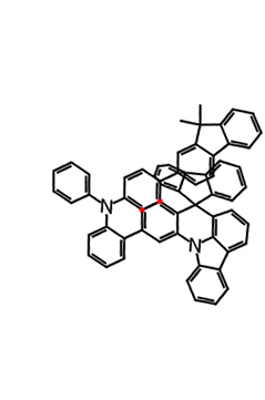 CC1(C)c2ccccc2-c2ccc(-c3ccc(N(c4ccccc4)c4ccccc4-c4ccc5c(c4)-n4c6ccccc6c6cccc(c64)C54c5ccccc5-c5ccccc54)cc3)cc21